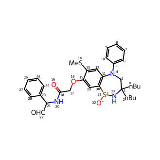 CCCCC1(CCCC)CN(c2ccccc2)c2cc(SC)c(OCC(=O)NC(C=O)c3ccccc3)cc2[S+]([O-])N1